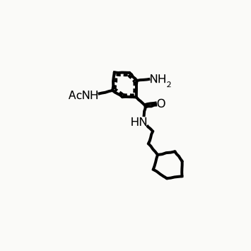 CC(=O)Nc1ccc(N)c(C(=O)NCCC2CCCCC2)c1